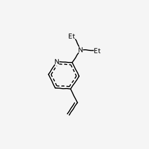 C=Cc1ccnc(N(CC)CC)c1